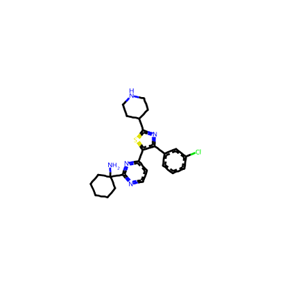 NC1(c2nccc(-c3sc(C4CCNCC4)nc3-c3cccc(Cl)c3)n2)CCCCC1